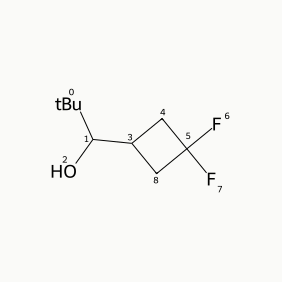 CC(C)(C)C(O)C1CC(F)(F)C1